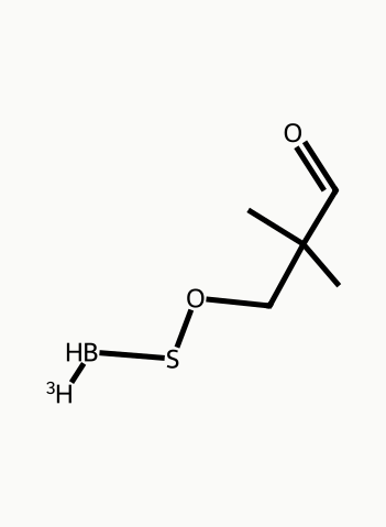 [3H]BSOCC(C)(C)C=O